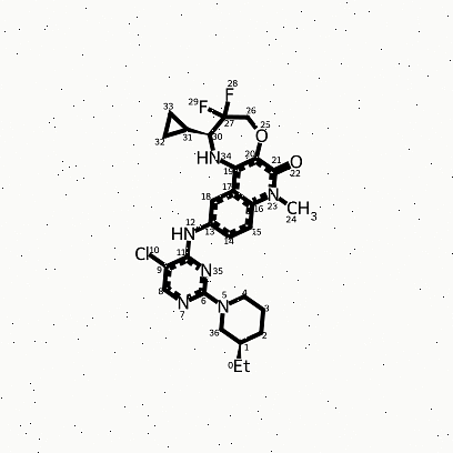 CC[C@@H]1CCCN(c2ncc(Cl)c(Nc3ccc4c(c3)c3c(c(=O)n4C)OCC(F)(F)[C@H](C4CC4)N3)n2)C1